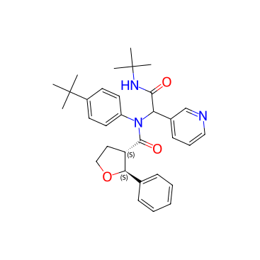 CC(C)(C)NC(=O)C(c1cccnc1)N(C(=O)[C@H]1CCO[C@@H]1c1ccccc1)c1ccc(C(C)(C)C)cc1